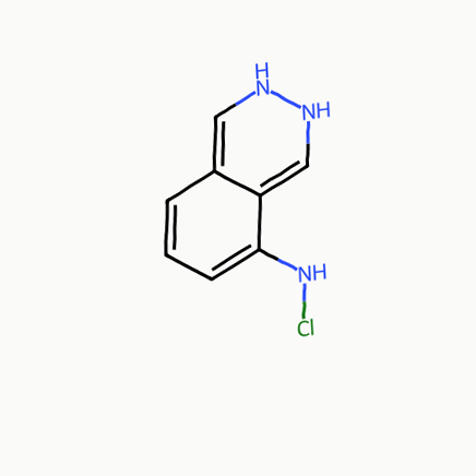 ClNc1cccc2c1=CNNC=2